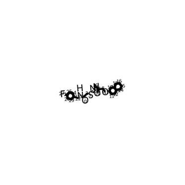 O=C(CSc1nnc(COc2ccc3ccccc3c2)o1)NCc1ccc(F)cc1